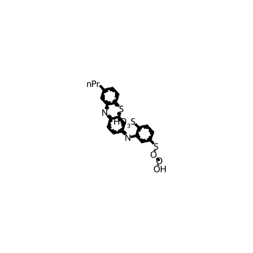 CCCc1ccc2sc3c/c(=N\c4cc(SOOO)ccc4S(=O)(=O)O)ccc-3nc2c1